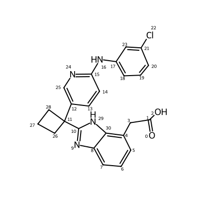 O=C(O)Cc1cccc2nc(C3(c4ccc(Nc5cccc(Cl)c5)nc4)CCC3)[nH]c12